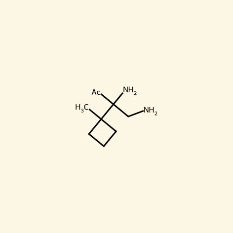 CC(=O)C(N)(CN)C1(C)CCC1